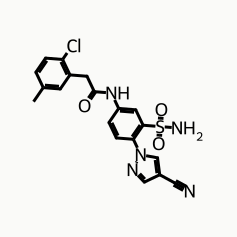 Cc1ccc(Cl)c(CC(=O)Nc2ccc(-n3cc(C#N)cn3)c(S(N)(=O)=O)c2)c1